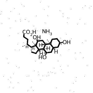 C[C@H](CCC(=O)O)[C@H]1CC[C@H]2[C@@H]3[C@H](O)C[C@@H]4C[C@H](O)CC[C@]4(C)[C@H]3C[C@H](O)[C@]12C.N